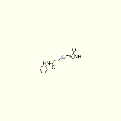 O=C(CC/C=C/C[C@@H]1CNC1=O)Nc1ccccc1